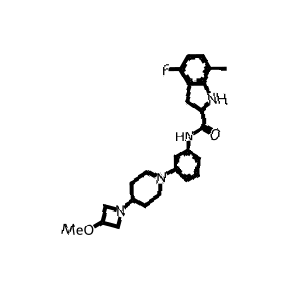 COC1CN(C2CCN(c3cccc(NC(=O)C4Cc5c(F)ccc(C)c5N4)c3)CC2)C1